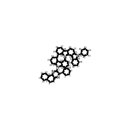 c1ccc(-c2nc3ccc4ccccc4c3nc2-n2c3cccc4c5cccc6c7ccc8c(c9ccccc9n8-c8ccccc8)c7n(c7cccc2c7c43)c56)cc1